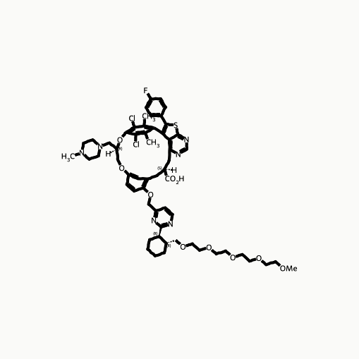 COCCOCCOCCOCCOC[C@@H]1CCCC[C@H]1c1nccc(COc2ccc3cc2C[C@H](C(=O)O)Cc2ncnc4sc(-c5ccc(F)cc5)c(c24)-c2c(C)c(Cl)c(c(Cl)c2C)O[C@H](CN2CCN(C)CC2)CO3)n1